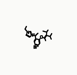 CCn1cc[n+](C(C)c2ccccc2OC(C)=C(C(C)C)C(C)C)c1.[Br-]